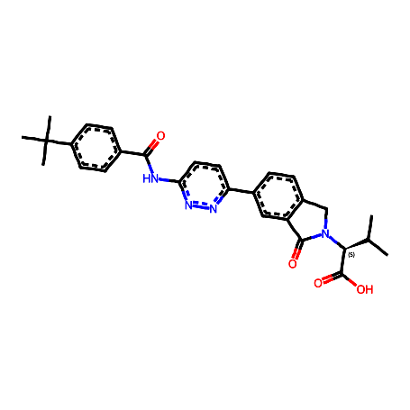 CC(C)[C@@H](C(=O)O)N1Cc2ccc(-c3ccc(NC(=O)c4ccc(C(C)(C)C)cc4)nn3)cc2C1=O